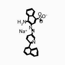 Nc1c(N=Nc2ccc(-c3cccc4ccccc34)nc2)cc(S(=O)(=O)[O-])c2ccccc12.[Na+]